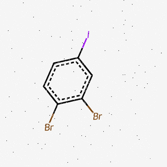 Brc1ccc(I)cc1Br